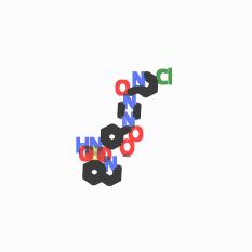 COc1cc(NS(=O)(=O)c2cccc3cccnc23)ccc1C(=O)N1CCN(C(=O)c2ccc(Cl)cn2)CC1